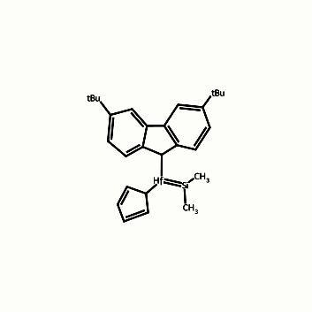 C[Si](C)=[Hf]([CH]1C=CC=C1)[CH]1c2ccc(C(C)(C)C)cc2-c2cc(C(C)(C)C)ccc21